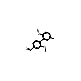 COc1cc(C=O)ccc1-c1cc(F)ccc1OC